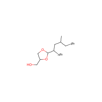 CCCC(CC(C)CC(C)C)C1OCC(CO)O1